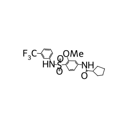 COc1cc(NC(=O)C2CCCC2)ccc1S(=O)(=O)Nc1cccc(C(F)(F)F)c1